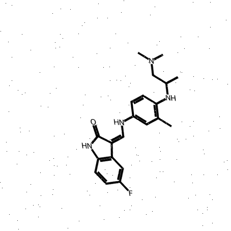 Cc1cc(NC=C2C(=O)Nc3ccc(F)cc32)ccc1NC(C)CN(C)C